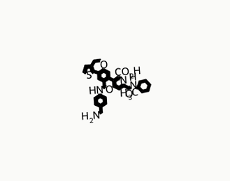 CC1(NC(=O)c2ccc(-c3cc4c(cc3C(=O)Nc3ccc(CN)cc3)-c3sccc3CCO4)c(C(=O)O)n2)CCCCC1